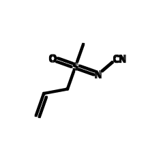 C=CCS(C)(=O)=NC#N